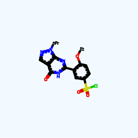 CCCn1ncc2c(=O)[nH]c(-c3cc(S(=O)(=O)Cl)ccc3OCC)nc21